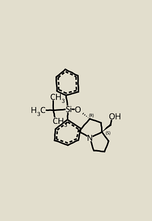 CC(C)(C)[Si](O[C@H]1CN2CCC[C@@]2(CO)C1)(c1ccccc1)c1ccccc1